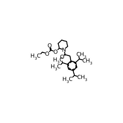 CCOC(=O)OC1CCCCN1C(=O)Cc1c(C(C)C)cc(C(C)C)cc1C(C)C